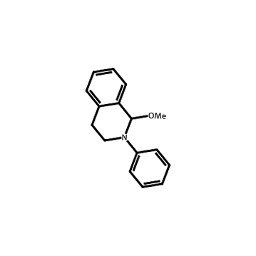 COC1c2ccccc2CCN1c1ccccc1